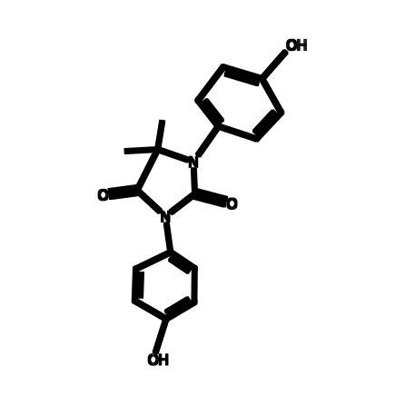 CC1(C)C(=O)N(c2ccc(O)cc2)C(=O)N1c1ccc(O)cc1